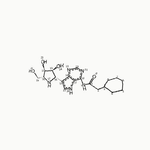 O=C(CC1CCCCC1)Nc1ncnc2c([C@@H]3N[C@H](CO)[C@@H](O)[C@H]3O)c[nH]c12